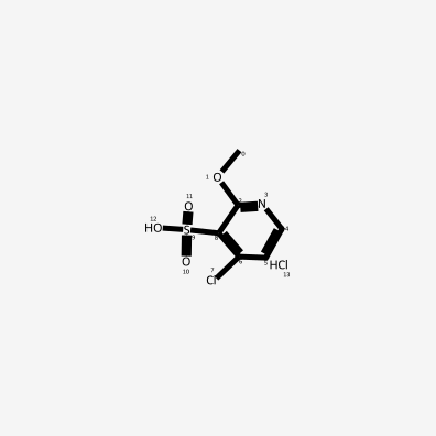 COc1nccc(Cl)c1S(=O)(=O)O.Cl